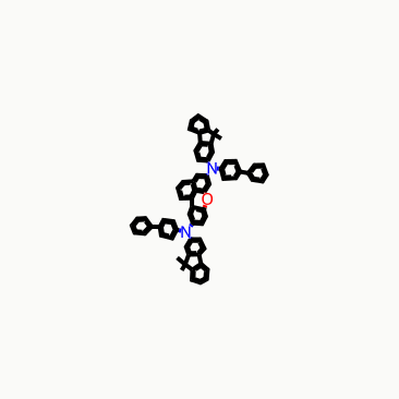 CC1(C)c2ccccc2-c2ccc(N(c3ccc(-c4ccccc4)cc3)c3ccc4c(c3)-c3cccc5cc(N(c6ccc(-c7ccccc7)cc6)c6ccc7c(c6)C(C)(C)c6ccccc6-7)cc(c35)O4)cc21